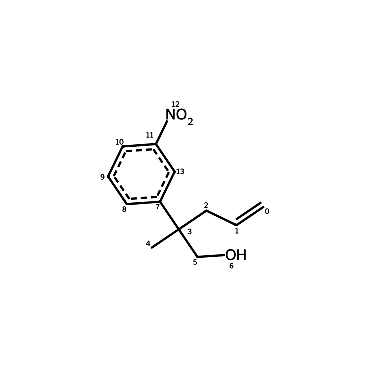 C=CCC(C)(CO)c1cccc([N+](=O)[O-])c1